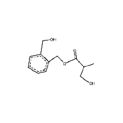 CC(CO)C(=O)OCc1ccccc1CO